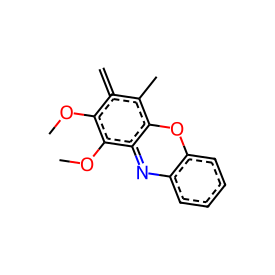 C=c1c(C)c2c(c(OC)c1OC)=Nc1ccccc1O2